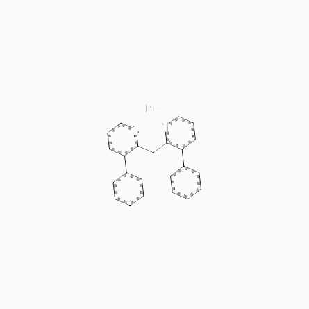 [Pt+2].c1ccc(-c2cccnc2Cc2ncccc2-c2ccccc2)cc1